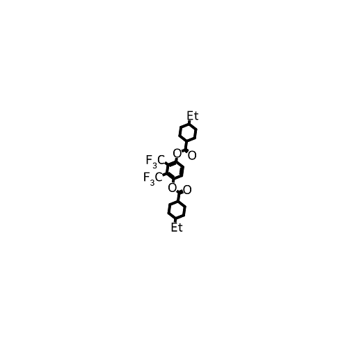 CCC1CCC(C(=O)Oc2ccc(OC(=O)C3CCC(CC)CC3)c(C(F)(F)F)c2C(F)(F)F)CC1